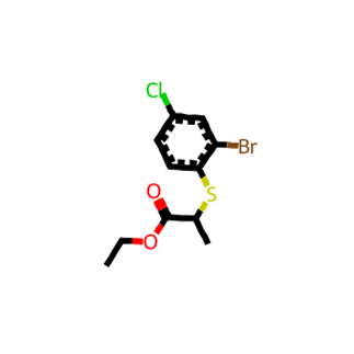 CCOC(=O)C(C)Sc1ccc(Cl)cc1Br